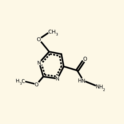 COc1cc(C(=O)NN)nc(OC)n1